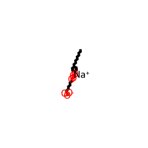 CCCCCCCCCc1ccc(OOOOCCCCCCS(=O)(=O)[O-])cc1.[Na+]